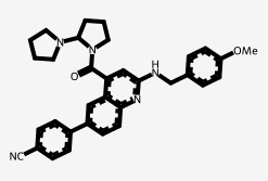 COc1ccc(CNc2cc(C(=O)N3CCCC3N3CCCC3)c3cc(-c4ccc(C#N)cc4)ccc3n2)cc1